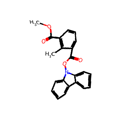 COC(=O)c1cccc(C(=O)On2c3ccccc3c3ccccc32)c1C